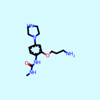 CNC(=O)Nc1ccc(N2CCNCC2)cc1OCCCN